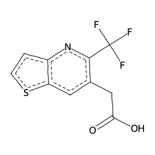 O=C(O)Cc1cc2sccc2nc1C(F)(F)F